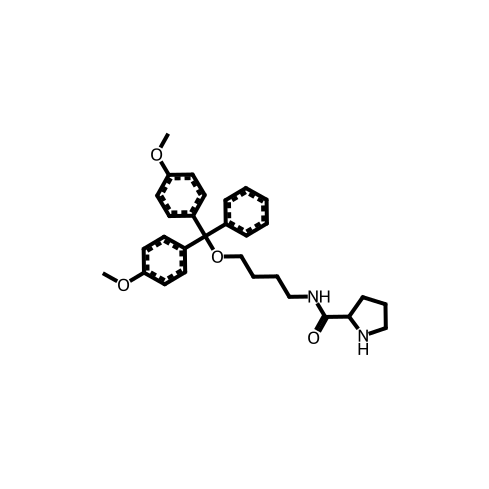 COc1ccc(C(OCCCCNC(=O)C2CCCN2)(c2ccccc2)c2ccc(OC)cc2)cc1